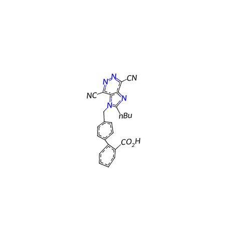 CCCCc1nc2c(C#N)nnc(C#N)c2n1Cc1ccc(-c2ccccc2C(=O)O)cc1